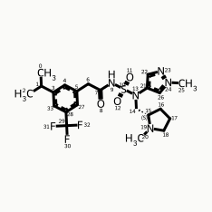 CC(C)c1cc(CC(=O)NS(=O)(=O)N(C[C@@H]2CCCN2C)c2cnn(C)c2)cc(C(F)(F)F)c1